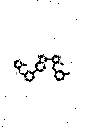 Cn1nccc1Nc1nccc(-c2ccn3c(-c4cnn(C)c4Cc4cccc(F)c4)nnc3c2)n1